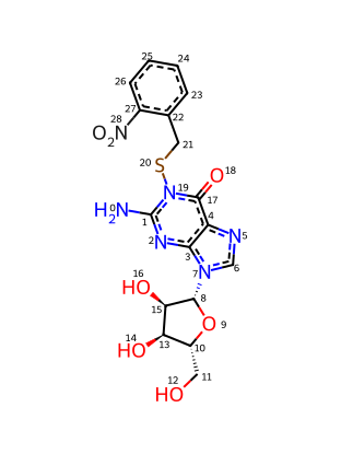 Nc1nc2c(ncn2[C@@H]2O[C@H](CO)[C@@H](O)[C@H]2O)c(=O)n1SCc1ccccc1[N+](=O)[O-]